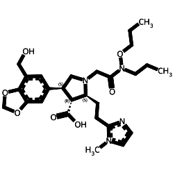 CCCON(CCC)C(=O)CN1C[C@H](c2cc(CO)c3c(c2)OCO3)[C@@H](C(=O)O)[C@@H]1CCc1nccn1C